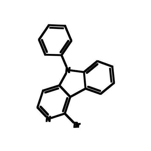 Brc1nccc2c1c1ccccc1n2-c1ccccc1